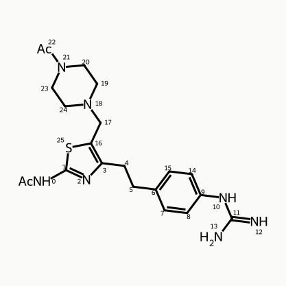 CC(=O)Nc1nc(CCc2ccc(NC(=N)N)cc2)c(CN2CCN(C(C)=O)CC2)s1